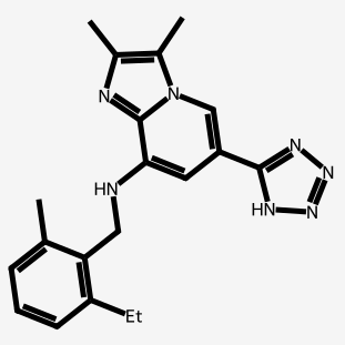 CCc1cccc(C)c1CNc1cc(-c2nnn[nH]2)cn2c(C)c(C)nc12